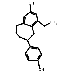 CCc1cc(O)cc2c1CC(c1ccc(O)cc1)CCC2